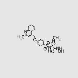 Cc1cc(COc2ccc(S(=O)(=O)NC3(C(=O)NO)CN(C)C3)cc2)c2ccccc2n1